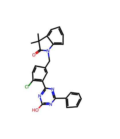 CC1(C)C(=O)N(Cc2ccc(Cl)c(-c3nc(O)nc(-c4ccccc4)n3)c2)c2ccccc21